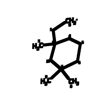 [CH2]CC1(C)CCCC(C)(C)C1